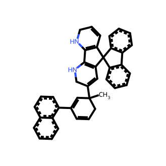 CC1(C2=CC3=C(NC2)C2=C(C=CCN2)C32c3ccccc3-c3ccccc32)C=C(c2cccc3ccccc23)C=CC1